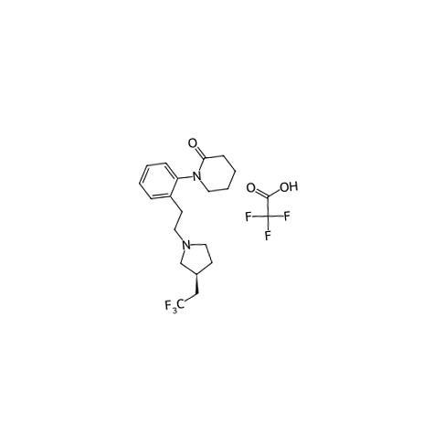 O=C(O)C(F)(F)F.O=C1CCCCN1c1ccccc1CCN1CC[C@@H](CC(F)(F)F)C1